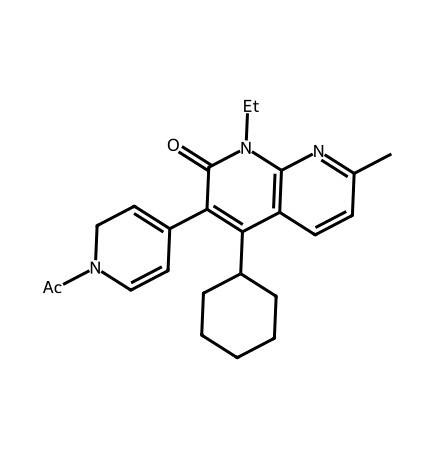 CCn1c(=O)c(C2=CCN(C(C)=O)C=C2)c(C2CCCCC2)c2ccc(C)nc21